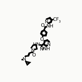 CN(CC=CC(=O)N1CC[C@@H](Nc2n[nH]c3nccc(Oc4ccc(C(=O)Nc5cc(C(F)(F)F)ccn5)cc4)c23)C1)C1CC1